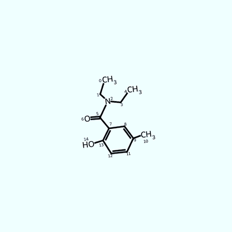 CCN(CC)C(=O)c1cc(C)ccc1O